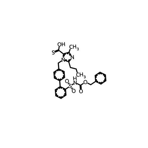 CCCc1nc(C)c(C(O)=S)n1Cc1ccc(-c2ccccc2S(=O)(=O)NC(=O)OCc2ccccc2)cc1